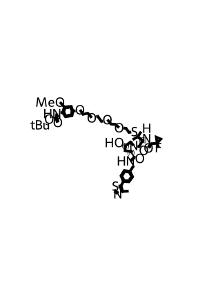 COc1cc(OCCOCCOCCOCCSC(C)(C)[C@H](NC(=O)C2(F)CC2)C(=O)N2C[C@H](O)C[C@@H]2C(=O)NCc2ccc(-c3scnc3C)cc2)ccc1NC(=O)OC(C)(C)C